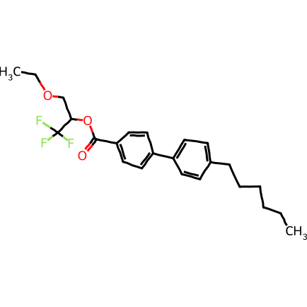 CCCCCCc1ccc(-c2ccc(C(=O)OC(COCC)C(F)(F)F)cc2)cc1